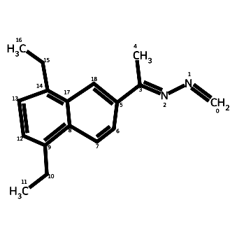 C=N/N=C(\C)c1ccc2c(CC)ccc(CC)c2c1